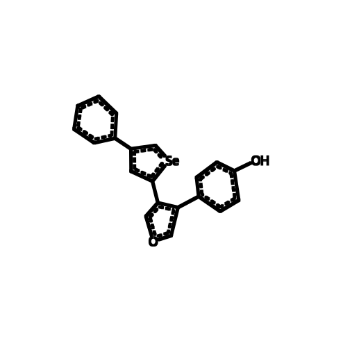 Oc1ccc(-c2cocc2-c2cc(-c3ccccc3)c[se]2)cc1